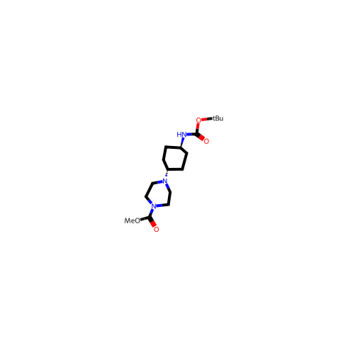 COC(=O)N1CCN([C@H]2CC[C@H](NC(=O)OC(C)(C)C)CC2)CC1